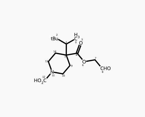 CC(C(C)(C)C)C1(C(=O)OCC=O)CCN(C(=O)O)CC1